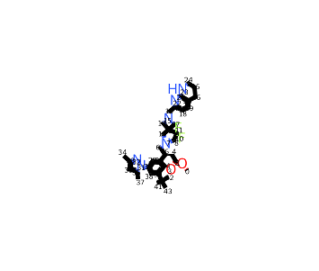 COC(=O)C[C@H](CN1CC(F)(F)C2(C1)CN(Cc1ccc3c(n1)NCCC3)C2)c1cc(-n2nc(C)cc2C)cc(C(C)(C)C)c1